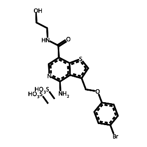 CS(=O)(=O)O.CS(=O)(=O)O.Nc1ncc(C(=O)NCCO)c2scc(COc3ccc(Br)cc3)c12